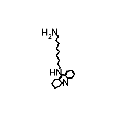 NCCCCCCCCCNc1c2c(nc3ccccc13)CCCC2